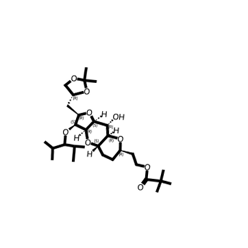 CC(C)C(O[C@@H]1[C@@H]2O[C@H]3CC[C@H](CCOC(=O)C(C)(C)C)O[C@@H]3[C@@H](O)[C@@H]2O[C@@H]1C[C@@H]1COC(C)(C)O1)C(C)C